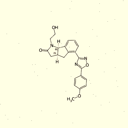 COc1ccc(-c2nc(-c3cccc4c3C[C@H]3CC(=O)N(CCO)[C@@H]43)no2)cc1